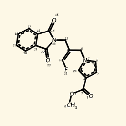 COC(=O)c1ccn(CC(=CF)CN2C(=O)c3ccccc3C2=O)c1